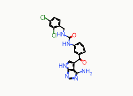 Nc1ncnc2[nH]cc(C(=O)c3cccc(NC(=O)NCc4ccc(Cl)cc4Cl)c3)c12